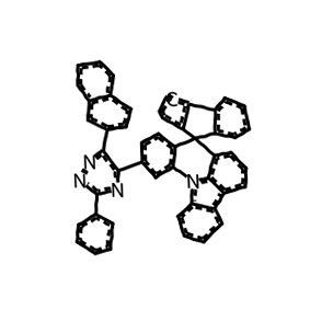 c1ccc(-c2nnc(-c3ccc4ccccc4c3)c(-c3ccc4c(c3)-n3c5ccccc5c5cccc(c53)C43c4ccccc4-c4ccccc43)n2)cc1